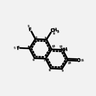 Cc1c(F)c(F)cc2ccc(=O)[nH]c12